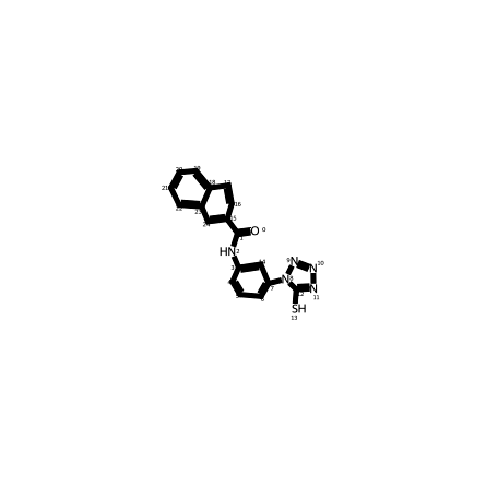 O=C(Nc1cccc(-n2nnnc2S)c1)c1ccc2ccccc2c1